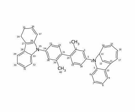 Cc1cc(N2c3ccccc3C3=CC2C=CC=C3)ccc1-c1ccc(-n2c3c(c4ccccc42)CCC=C3)cc1C